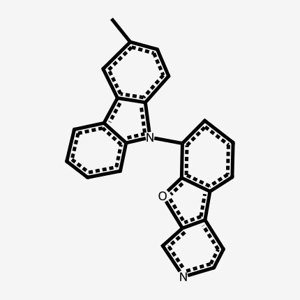 Cc1ccc2c(c1)c1ccccc1n2-c1cccc2c1oc1cnccc12